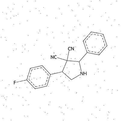 N#CC1(C#N)C(c2ccc(F)cc2)CNC1c1ccccc1